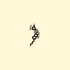 CCCCCc1ccc2cc(C(F)(F)Oc3cc(F)c(F)c(F)c3)c(F)c(F)c2c1